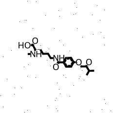 CN[C@@H](CCCCNC(=O)c1ccc(OCC(=O)C(C)C)cc1)C(=O)O